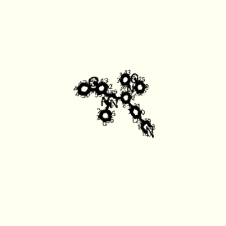 c1ccc(-c2nc(-c3cc(-c4ccc(-c5ccncc5)cc4)cc(N4c5ccccc5Oc5ccccc54)c3)cc(-c3ccc4oc5ccccc5c4c3)n2)cc1